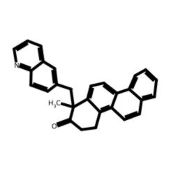 CC1([CH]c2ccc3ncccc3c2)C(=O)CCc2c1ccc1c2ccc2ccccc21